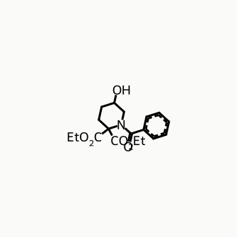 CCOC(=O)C1(C(=O)OCC)CCC(O)CN1C(=O)c1ccccc1